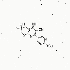 CC(C)(C)c1ccc(-c2nc3n(c(=N)c2C#N)C[C@@](C)(O)CS3)cn1